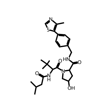 Cc1ncsc1-c1ccc(CNC(=O)C2CC(O)CN2C(=O)C(NC(=O)CC(C)C)C(C)(C)C)cc1